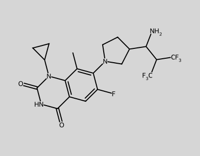 Cc1c(N2CCC(C(N)C(C(F)(F)F)C(F)(F)F)C2)c(F)cc2c(=O)[nH]c(=O)n(C3CC3)c12